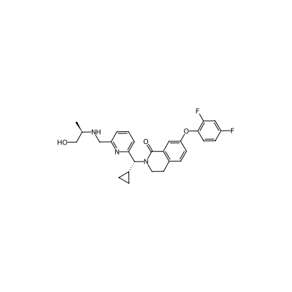 C[C@H](CO)NCc1cccc([C@@H](C2CC2)N2CCc3ccc(Oc4ccc(F)cc4F)cc3C2=O)n1